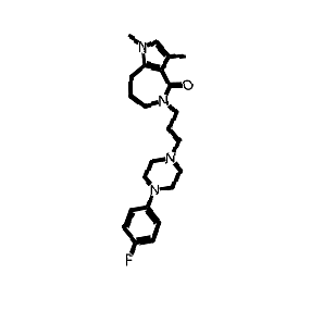 Cc1cn(C)c2c1C(=O)N(CCCN1CCN(c3ccc(F)cc3)CC1)CCC2